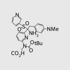 CNc1ccc(CC(N)(c2cccc(N(CC(=O)O)C(=O)OC(C)(C)C)n2)S(=O)(=O)c2cccnc2)cc1